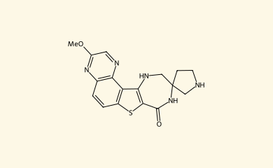 COc1cnc2c(ccc3sc4c(c32)NCC2(CCNC2)NC4=O)n1